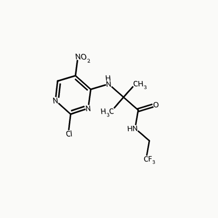 CC(C)(Nc1nc(Cl)ncc1[N+](=O)[O-])C(=O)NCC(F)(F)F